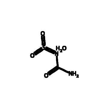 NC(=O)N=S(=O)=O.O